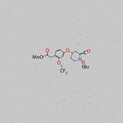 COC(=O)Cc1ccc(OC2CCN(OC(C)(C)C)C(=C=O)C2)cc1OCC(F)(F)F